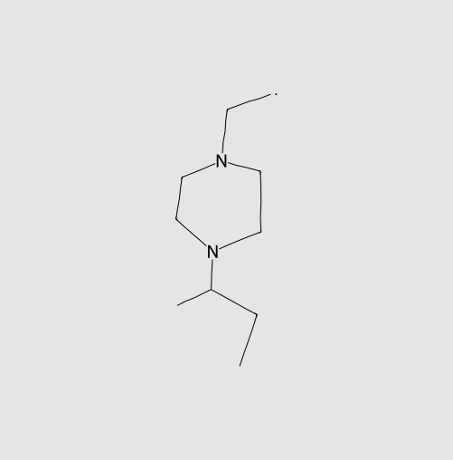 [CH2]CN1CCN(C(C)CC)CC1